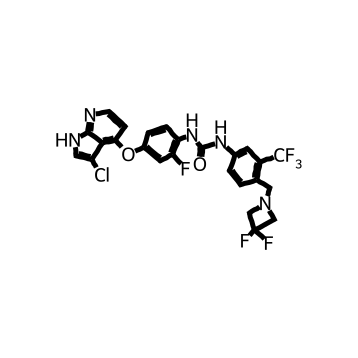 O=C(Nc1ccc(CN2CC(F)(F)C2)c(C(F)(F)F)c1)Nc1ccc(Oc2ccnc3[nH]cc(Cl)c23)cc1F